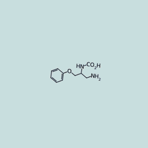 NCC(COc1ccccc1)NC(=O)O